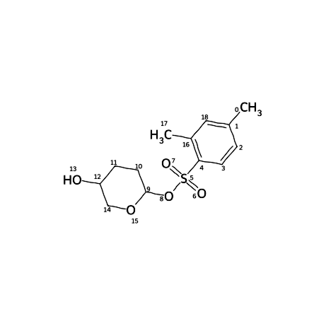 Cc1ccc(S(=O)(=O)OC2CCC(O)CO2)c(C)c1